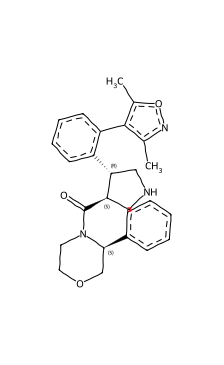 Cc1noc(C)c1-c1ccccc1[C@@H]1CNC[C@H]1C(=O)N1CCOC[C@@H]1c1ccccc1